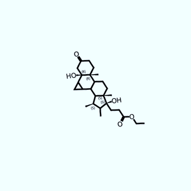 CCOC(=O)CC[C@]1(O)C(C)[C@@H](C)C2C3C4CC4[C@]4(O)CC(=O)CC[C@]4(C)C3CC[C@@]21C